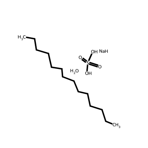 CCCCCCCCCCCCCC.O.O=S(=O)(O)O.[NaH]